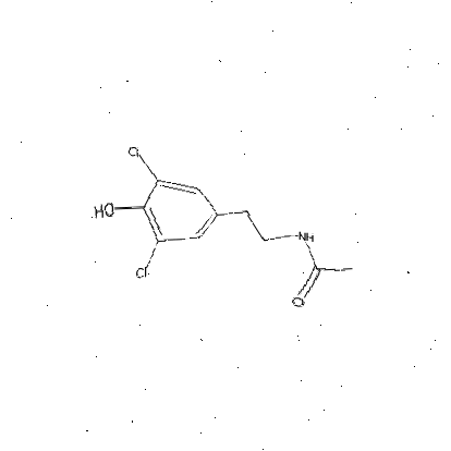 CC(=O)NCCc1cc(Cl)c(O)c(Cl)c1